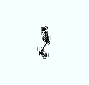 CCOc1cc(-c2ccc(N3CCC(CN4CCN(C(=O)CCCCCCCCNc5ccc6c(C7CCC(=O)NC7=O)nn(C)c6c5)CC4)(NC(=O)c4cc(F)ccc4F)CC3)nc2)c2c(C#N)cnn2c1